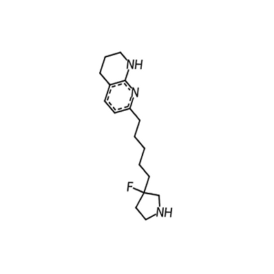 FC1(CCCCCc2ccc3c(n2)NCCC3)CCNC1